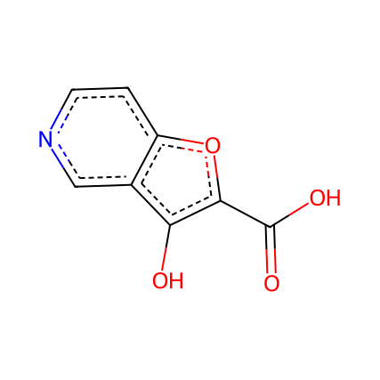 O=C(O)c1oc2ccncc2c1O